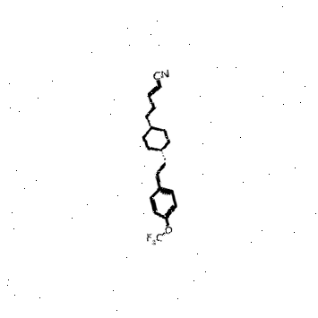 N#C/C=C/CC[C@H]1CC[C@H](CCc2ccc(OC(F)(F)F)cc2)CC1